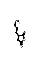 CCC[CH]C1CC(=O)OC1=O